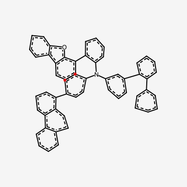 c1ccc(-c2ccccc2-c2cccc(N(c3ccc(-c4cccc5c4ccc4ccccc45)cc3)c3ccccc3-c3cccc4c3oc3ccccc34)c2)cc1